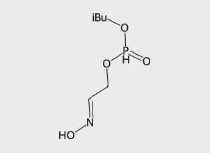 CCC(C)O[PH](=O)OCC=NO